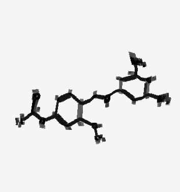 Nc1cc(OCc2ccc(OC(=O)C(F)(F)F)cc2OC(F)(F)F)cc(N)n1